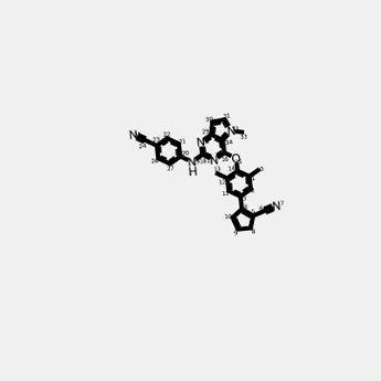 Cc1cc(C2=C(C#N)CC=C2)cc(C)c1Oc1nc(Nc2ccc(C#N)cc2)nc2ccn(C)c12